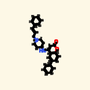 O=c1cc(NC2CCN(CC=Cc3ccccc3)CC2)c2cc(-c3ccccc3)ccc2o1